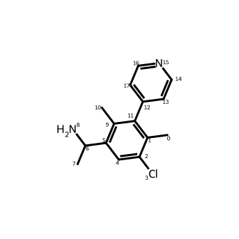 Cc1c(Cl)cc(C(C)N)c(C)c1-c1ccncc1